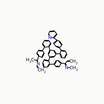 C=C/N=C(\C)c1ccc(-c2ccccc2-c2cc(-c3ccccc3-c3ccc(/C(C=C)=N/C)cc3)cc(-c3ccccc3-c3ccc(-c4ccccn4)cc3)c2)cc1